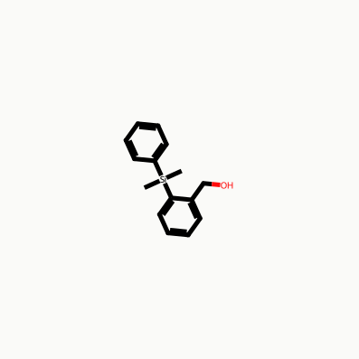 C[Si](C)(c1ccccc1)c1ccccc1CO